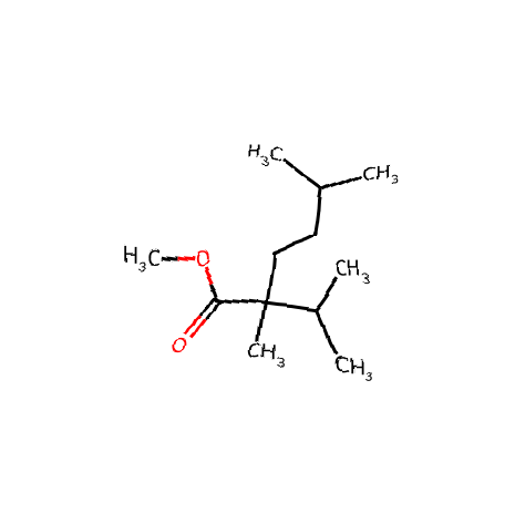 COC(=O)C(C)(CCC(C)C)C(C)C